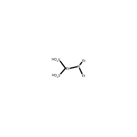 CCN(CC)CC.O=S(=O)(O)CS(=O)(=O)O